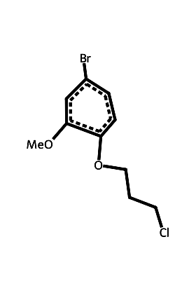 COc1cc(Br)ccc1OCCCCl